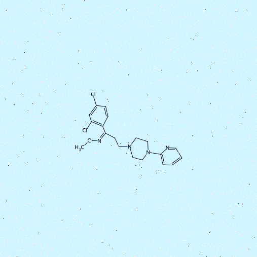 CON=C(CCN1CCN(c2ccccn2)CC1)c1ccc(Cl)cc1Cl